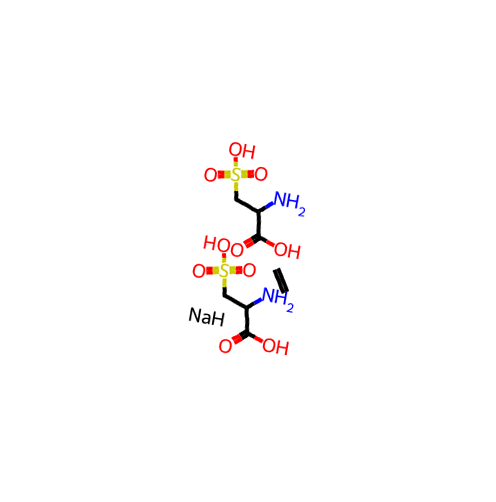 C=C.NC(CS(=O)(=O)O)C(=O)O.NC(CS(=O)(=O)O)C(=O)O.[NaH]